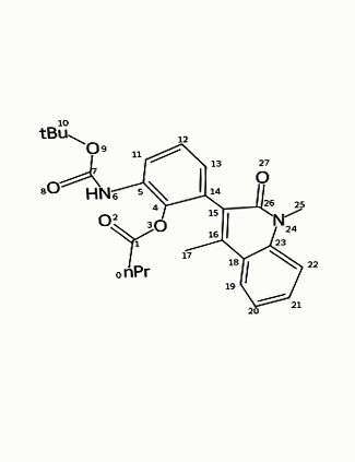 CCCC(=O)Oc1c(NC(=O)OC(C)(C)C)cccc1-c1c(C)c2ccccc2n(C)c1=O